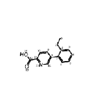 CCc1ccccc1-c1ccc(C(=O)O)nc1